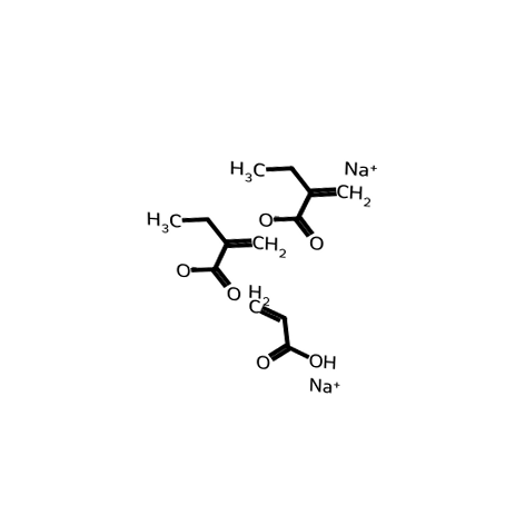 C=C(CC)C(=O)[O-].C=C(CC)C(=O)[O-].C=CC(=O)O.[Na+].[Na+]